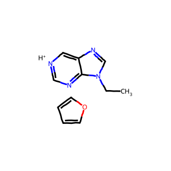 CCn1cnc2cncnc21.[H+].c1ccoc1